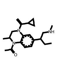 C=C(C1CC1)N1CC(C)N(C(C)=O)c2ccc(C(CC)CNC)cc21